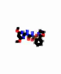 COc1cc(OC)nc(NC(=O)NS(=O)(=O)c2ccccc2-c2ncco2)n1